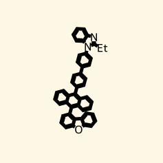 CCc1nc2ccccc2n1-c1ccc(-c2ccc(-c3c4ccccc4c(-c4cccc5oc6ccccc6c45)c4ccccc34)cc2)cc1